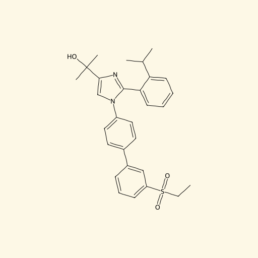 CCS(=O)(=O)c1cccc(-c2ccc(-n3cc(C(C)(C)O)nc3-c3ccccc3C(C)C)cc2)c1